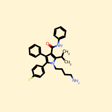 CC(C)c1c(C(=O)Nc2ccccc2)c(-c2ccccc2)c(-c2ccc(F)cc2)n1CCCCN